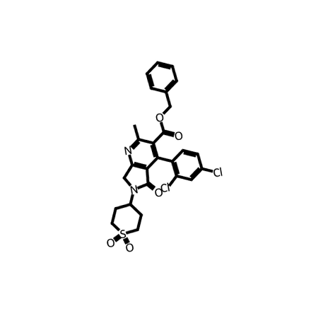 Cc1nc2c(c(-c3ccc(Cl)cc3Cl)c1C(=O)OCc1ccccc1)C(=O)N(C1CCS(=O)(=O)CC1)C2